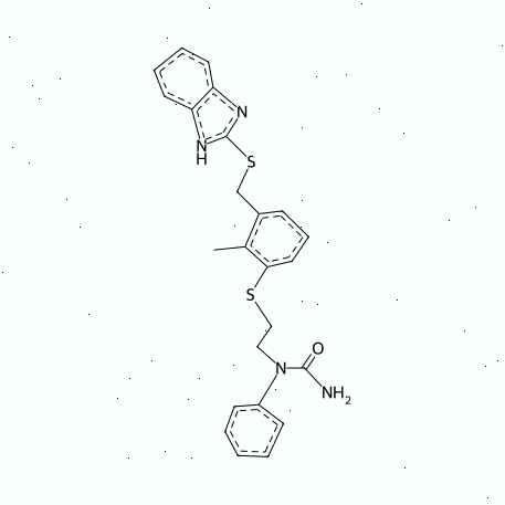 Cc1c(CSc2nc3ccccc3[nH]2)cccc1SCCN(C(N)=O)c1ccccc1